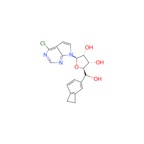 OC(c1ccc2c(c1)CC2)[C@H]1O[C@@H](n2ccc3c(Cl)ncnc32)[C@H](O)[C@@H]1O